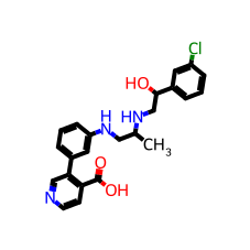 CC(CNc1cccc(-c2cnccc2C(=O)O)c1)NCC(O)c1cccc(Cl)c1